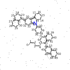 C/C=C\C=C/c1cc(-c2ccc(-n3c4ccccc4c4cc(-c5cccc6ccccc56)ccc43)cc2)c2ccccc2c1-c1ccc2ccccc2c1